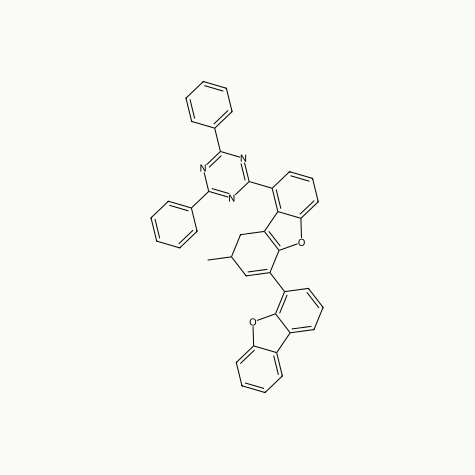 CC1C=C(c2cccc3c2oc2ccccc23)c2oc3cccc(-c4nc(-c5ccccc5)nc(-c5ccccc5)n4)c3c2C1